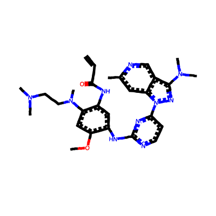 C=CC(=O)Nc1cc(Nc2nccc(-n3nc(N(C)C)c4cnc(C)cc43)n2)c(OC)cc1N(C)CCN(C)C